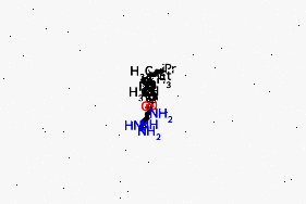 CC[C@H](CC[C@@H](C)[C@H]1CC[C@H]2[C@@H]3CC=C4C[C@@H](OC(=O)C(N)CCCNC(=N)N)CC[C@]4(C)[C@H]3CC[C@]12C)C(C)C